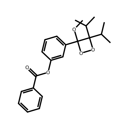 COC1(c2cccc(OC(=O)c3ccccc3)c2)OOC1(C(C)C)C(C)C